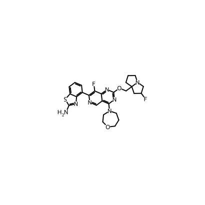 Nc1nc2c(-c3ncc4c(N5CCCOCC5)nc(OCC56CCCN5CC(F)C6)nc4c3F)cccc2s1